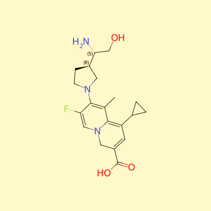 CC1=C(N2CC[C@@H]([C@H](N)CO)C2)C(F)=CN2CC(C(=O)O)=CC(C3CC3)=C12